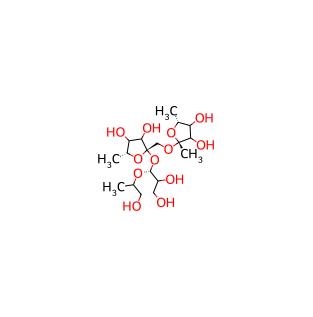 CC(CO)O[C@H](O[C@]1(CO[C@]2(C)O[C@H](C)C(O)C2O)O[C@H](C)C(O)C1O)C(O)CO